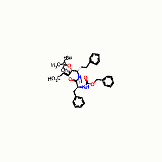 CC(C)(C)[Si](C)(C)O[C@@H](C=CC(=O)O)[C@H](CCc1ccccc1)NC(=O)[C@H](Cc1ccccc1)NC(=O)OCc1ccccc1